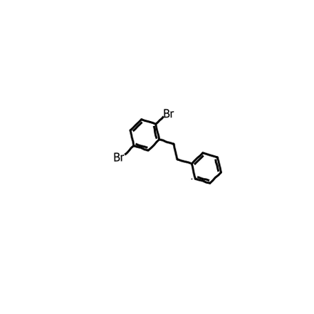 Brc1ccc(Br)c(CCc2[c]cccc2)c1